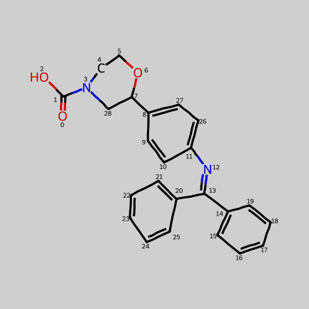 O=C(O)N1CCOC(c2ccc(N=C(c3ccccc3)c3ccccc3)cc2)C1